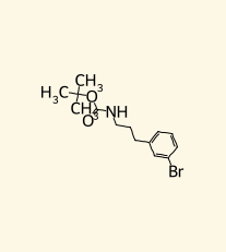 CC(C)(C)OC(=O)NCCCc1cccc(Br)c1